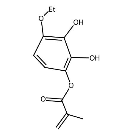 C=C(C)C(=O)Oc1ccc(OCC)c(O)c1O